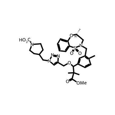 COC(=O)C(C)(C)C(OCc1cn(CC2CCN(C(=O)O)CC2)nn1)c1ccc(C)c(CN2C[C@@H](C)Oc3ccccc3S2(=O)=O)c1